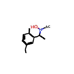 CC(=O)N(O)C(C)c1cc(C)ccc1C